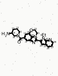 CCn1c(-c2nc3cc(C(=O)N4CCCC(N)C4)cc4c3n2CCO4)cc2cccnc21